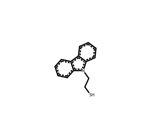 SCCn1c2ccccc2c2ccccc21